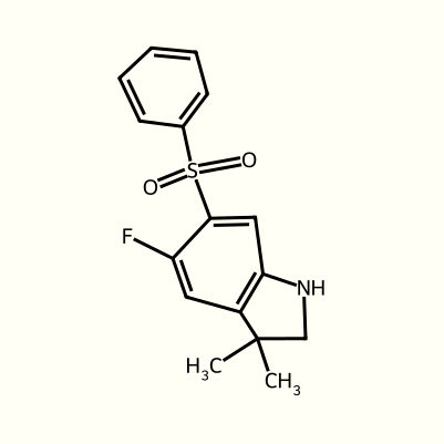 CC1(C)CNc2cc(S(=O)(=O)c3ccccc3)c(F)cc21